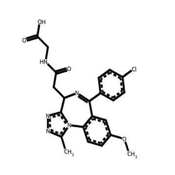 COc1ccc2c(c1)C(c1ccc(Cl)cc1)=NC(CC(=O)NCC(=O)O)c1nnc(C)n1-2